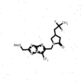 COCc1nn2c(C(F)(F)F)c(CN3CC(CC(C)(F)F)CC3=O)nc2s1